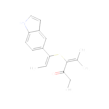 C/C=C(/SC(C(=O)CC)=C(C)C)c1ccc2[nH]ccc2c1